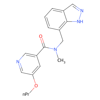 CCCOc1cncc(C(=O)N(C)Cc2cccc3cn[nH]c23)c1